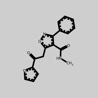 CNC(=O)c1c(-c2ccccc2)noc1CC(=O)c1ccco1